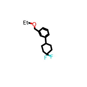 CCOCc1cccc(C2CCC(F)(F)CC2)c1